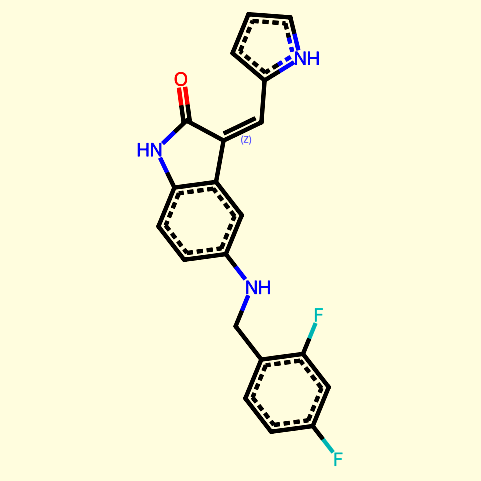 O=C1Nc2ccc(NCc3ccc(F)cc3F)cc2/C1=C/c1ccc[nH]1